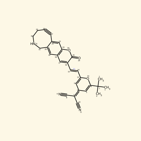 CC(C)(C)C1=CC(=C(C#N)C#N)C=C(/C=C/c2cc3cc4c(cc3oc2=O)C#CCCNC4)O1